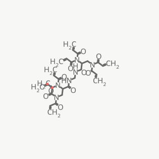 C=CC(=O)N(CC(C(=O)NCNC(=O)C(CN(C(=O)C=C)C(=O)C=C)N(C(=O)C=C)C(=O)C=C)N(C(=O)C=C)C(=O)C=C)C(=O)C=C